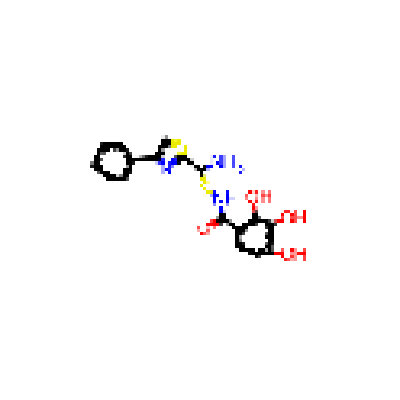 NC(SNC(=O)c1ccc(O)c(O)c1O)c1nc(-c2ccccc2)cs1